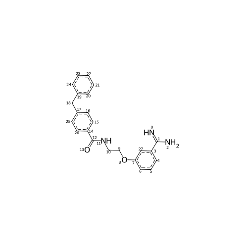 N=C(N)c1cccc(OCCNC(=O)c2ccc(Cc3ccccc3)cc2)c1